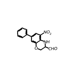 O=CC1COc2cc(-c3ccccc3)cc([N+](=O)[O-])c2N1